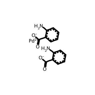 Nc1ccccc1C(=O)[O-].Nc1ccccc1C(=O)[O-].[Pd+2]